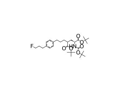 CC(C)(C)OC(=O)N[C@@H](CC(CCCc1ccc(CCCF)cc1)C(=O)OC(C)(C)C)C(=O)OC(C)(C)C